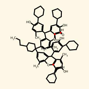 CCCC1CCC(c2cc(C)c(OCC(=O)O)c(C(c3cc(C4CCCCC4)c(O)cc3C)c3cc(C4CCCCC4)c(O)cc3C)c2)(c2cc(C)c(OCC(=O)O)c(C(c3cc(C4CCCCC4)c(O)cc3C)c3cc(C4CCCCC4)c(O)cc3C)c2)CC1